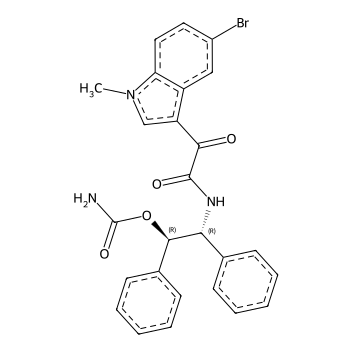 Cn1cc(C(=O)C(=O)N[C@H](c2ccccc2)[C@H](OC(N)=O)c2ccccc2)c2cc(Br)ccc21